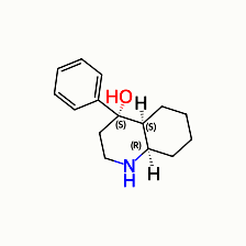 O[C@@]1(c2ccccc2)CCN[C@@H]2CCCC[C@@H]21